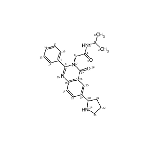 CC(C)NC(=O)Cn1c(-c2ccccc2)nc2ccc(C3CCCN3)cc2c1=O